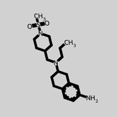 CCCN(CC1CCN(S(C)(=O)=O)CC1)C1CCc2ccc(N)cc2C1